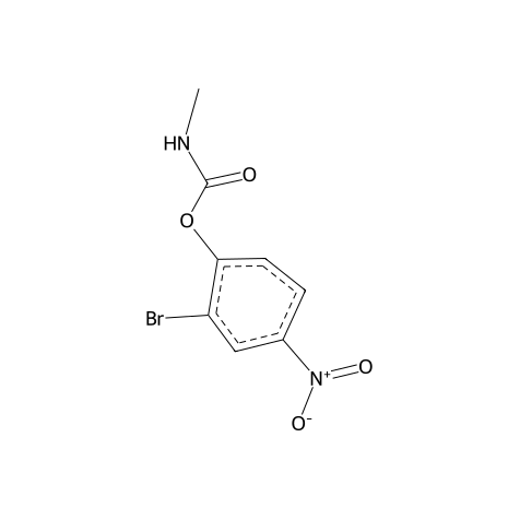 CNC(=O)Oc1ccc([N+](=O)[O-])cc1Br